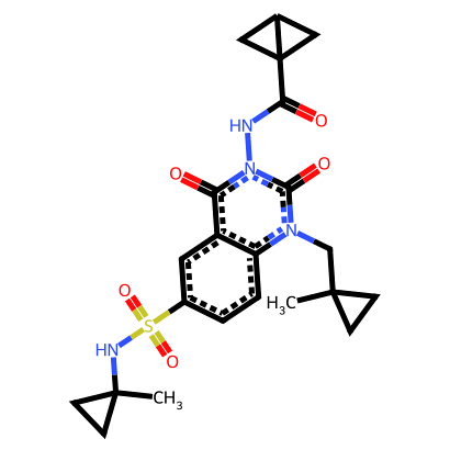 CC1(Cn2c(=O)n(NC(=O)C34CC3C4)c(=O)c3cc(S(=O)(=O)NC4(C)CC4)ccc32)CC1